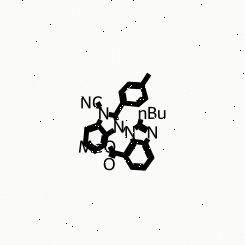 CCCCc1nc2cccc(C(=O)OC)c2n1N1c2ccccc2N(C#N)C1c1ccc(C)cc1